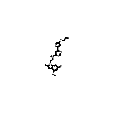 CCCOc1csc(-c2cc(NCCn3c(C)cc4c(OC)cc(F)cc43)ncn2)c1